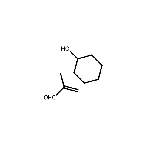 C=C(C)C=O.OC1CCCCC1